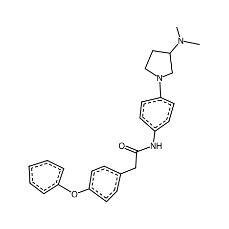 CN(C)C1CCN(c2ccc(NC(=O)Cc3ccc(Oc4ccccc4)cc3)cc2)C1